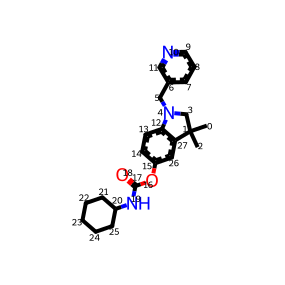 CC1(C)CN(Cc2cccnc2)c2ccc(OC(=O)NC3CCCCC3)cc21